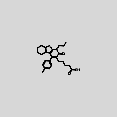 CCCn1c(=O)c(CCCCC(=O)O)c(-c2ccc(C)cc2)c2c3c(sc21)CCCC3